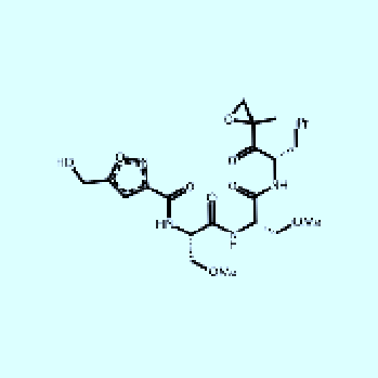 COC[C@H](NC(=O)c1cc(CO)on1)C(=O)N[C@@H](COC)C(=O)N[C@@H](CC(C)C)C(=O)C1(C)CO1